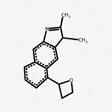 CC1=Nc2cc3cccc(C4CCO4)c3cc2C1C